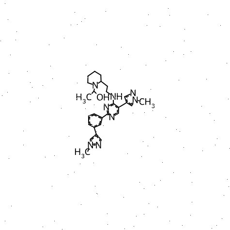 CC(O)N1CCCCC1CCNc1nc(-c2cccc(-c3cnn(C)c3)c2)ncc1-c1cnn(C)c1